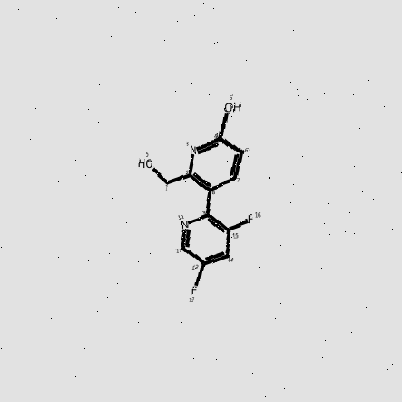 OCc1nc(O)ccc1-c1ncc(F)cc1F